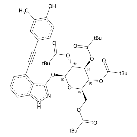 Cc1cc(C#Cc2cccc3[nH]nc(O[C@@H]4O[C@H](COC(=O)C(C)(C)C)[C@@H](OC(=O)C(C)(C)C)[C@H](OC(=O)C(C)(C)C)[C@H]4OC(=O)C(C)(C)C)c23)ccc1O